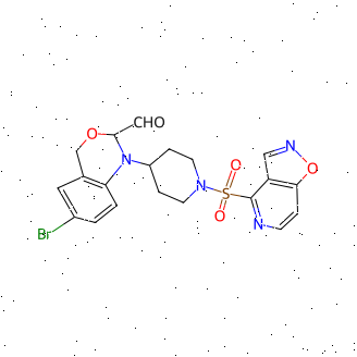 O=CC1OCc2cc(Br)ccc2N1C1CCN(S(=O)(=O)c2nccc3oncc23)CC1